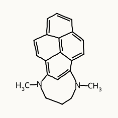 CN1CCCN(C)c2cc1c1ccc3cccc4ccc2c1c34